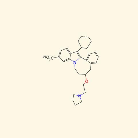 O=C(O)c1ccc2c(C3CCCCC3)c3n(c2c1)CCC(OCCN1CCCC1)Cc1ccccc1-3